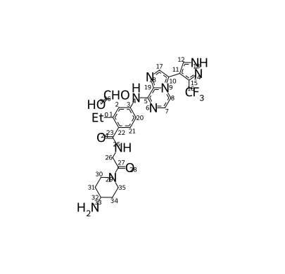 CCc1cc(Nc2nccn3c(-c4c[nH]nc4C(F)(F)F)cnc23)ccc1C(=O)NCC(=O)N1CCC(N)CC1.O=CO